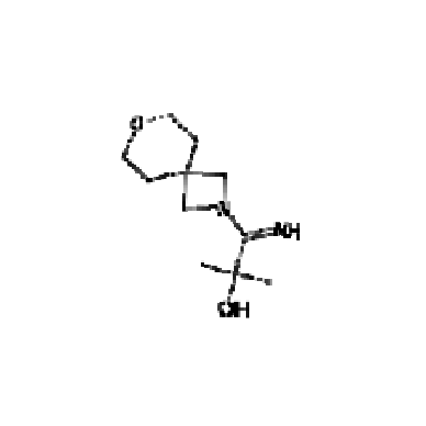 CC(C)(O)C(=N)N1CC2(CCOCC2)C1